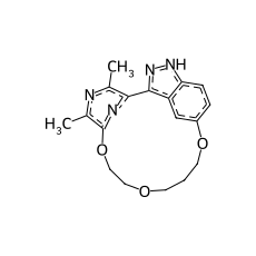 Cc1nc(C)c2nc1OCCOCCCOc1ccc3[nH]nc-2c3c1